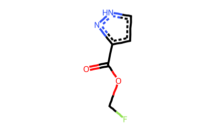 O=C(OCF)c1cc[nH]n1